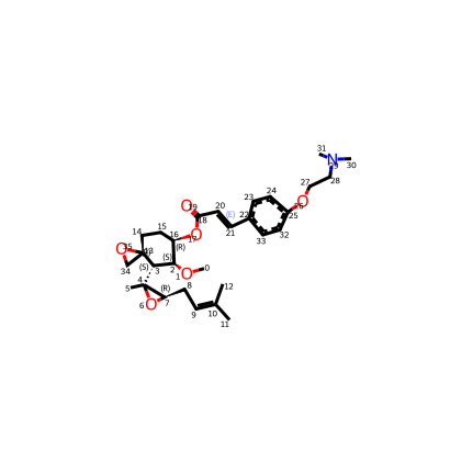 CO[C@H]1[C@H](C2(C)O[C@@H]2CC=C(C)C)[C@]2(CC[C@H]1OC(=O)/C=C/c1ccc(OCCN(C)C)cc1)CO2